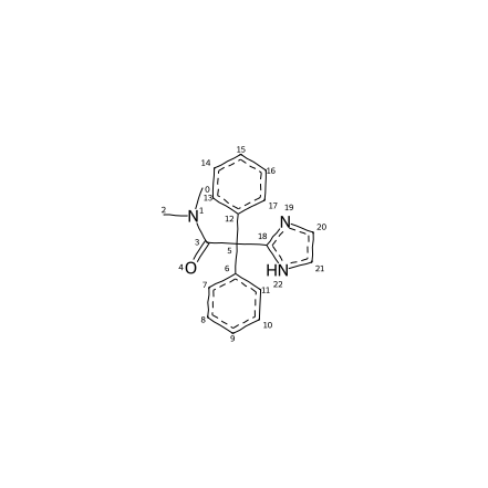 CN(C)C(=O)C(c1ccccc1)(c1ccccc1)c1ncc[nH]1